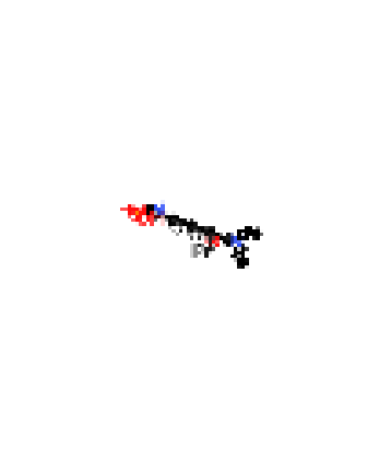 CC(C)CCOc1cc(/C=C/c2ccc(/C=C/c3ccc(/C=C/C4=Nc5ccc(P(=O)(O)O)cc5C4(C)C)cc3OCC(C)C)cc2OCC(C)C)ccc1/C=C/c1ccc(N(c2ccc3c(c2)-c2ccccc2C3(C)C)c2ccc3c(c2)C(C)(C)c2ccccc2-3)cc1